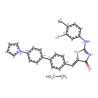 CC(=O)O.O=C1N=C(Nc2cc[c]([Na])c(F)c2)SC1=Cc1ccc(-c2ccc(-n3cccc3)cc2)cc1